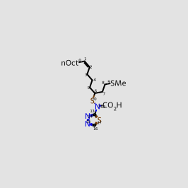 CCCCCCCC/C=C\CCCC(CCSC)SN(C(=O)O)c1nncs1